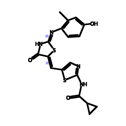 Cc1cc(O)ccc1/N=C1/NC(=O)/C(=C/c2cnc(NC(=O)C3CC3)s2)S1